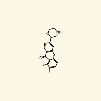 Cc1ccc2sc3cc(C4CNCCO4)ccc3c(=O)c2c1C